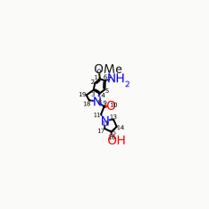 COc1cc2c(cc1N)N(C(=O)CN1CCC(O)C1)CC2